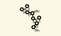 CC(C)(C)c1cc(-c2ccc3c(c2)B2c4ccccc4Sc4cc5oc6c(C(C)(C)C)cccc6c5c(c42)S3)c2oc3cc4c5c(c3c2c1)Sc1ccccc1B5c1ccccc1S4